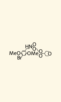 COc1cc(CCNC(=O)OCCOC(=O)C2CCOCC2)c(OC)cc1Br